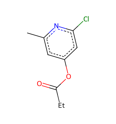 CCC(=O)Oc1cc(C)nc(Cl)c1